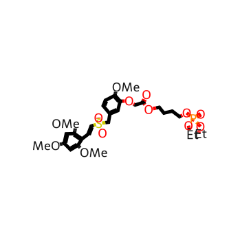 CCOP(=O)(OCC)OCCCCOC(=O)COc1cc(CS(=O)(=O)/C=C/c2c(OC)cc(OC)cc2OC)ccc1OC